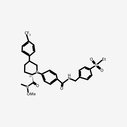 CCS(=O)(=O)c1ccc(CNC(=O)c2ccc(N3CC(c4ccc(C(F)(F)F)cc4)CC[C@H]3C(=O)N(C)OC)cc2)cc1